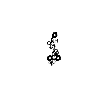 CC(=O)OC1c2ccccc2C(=O)N(CC(=O)N2CCN(C(=O)NCc3ccccc3)CC2)c2ccccc21